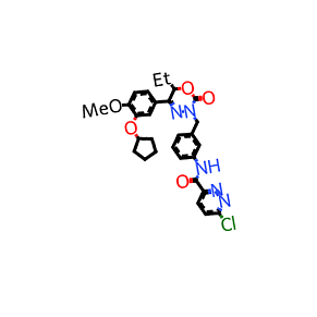 CCC1OC(=O)N(Cc2cccc(NC(=O)c3ccc(Cl)nn3)c2)N=C1c1ccc(OC)c(OC2CCCC2)c1